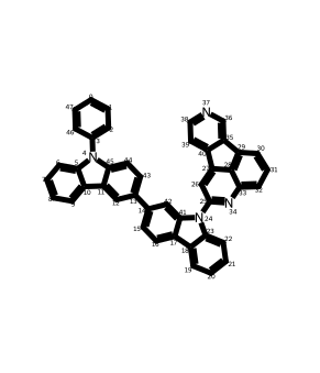 c1ccc(-n2c3ccccc3c3cc(-c4ccc5c6ccccc6n(-c6cc7c8c(cccc8n6)-c6cnccc6-7)c5c4)ccc32)cc1